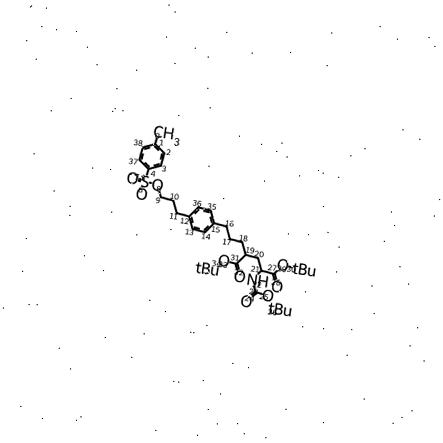 Cc1ccc(S(=O)(=O)OCCCc2ccc(CCCC(CC(NC(=O)OC(C)(C)C)C(=O)OC(C)(C)C)C(=O)OC(C)(C)C)cc2)cc1